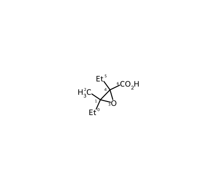 CCC1(C)OC1(CC)C(=O)O